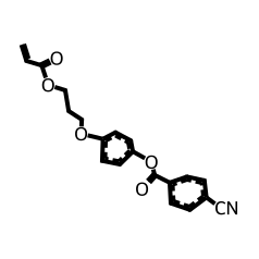 C=CC(=O)OCCCOc1ccc(OC(=O)c2ccc(C#N)cc2)cc1